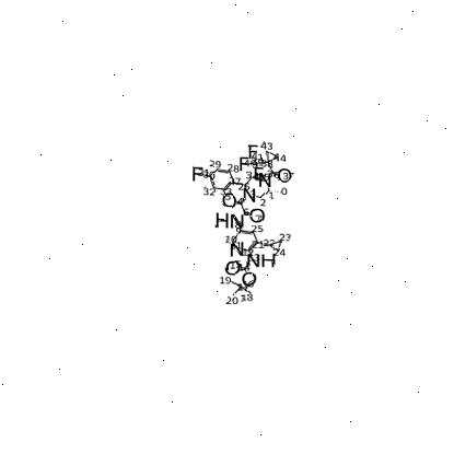 C[C@@H]1CN(C(=O)C(=O)Nc2cnc(NC(=O)OC(C)(C)C)c(C3CC3)c2)[C@@H](c2ccc(F)cc2)CN1C(=O)C1(C(F)(F)F)CC1